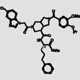 CNC(=O)[C@H](CCCc1ccccc1)NC(=O)C1CN(C(=O)Cn2cnc3cc(Cl)ccc32)CC2CN(C(=O)c3ccc(OC(C)C)c(OC)c3)CC21